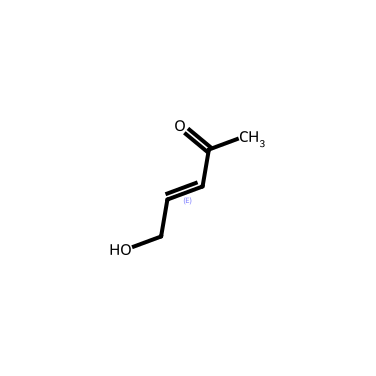 CC(=O)/C=C/CO